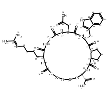 NC(=O)[C@@H]1CSSCCC(=O)N[C@@H](CCCCN=C(N)N)C(=O)NCC(=O)N[C@@H](CC(=O)O)C(=O)N[C@H](Cc2c[nH]c3ccccc23)C(=O)N2CCC[C@H]2C(=O)N1